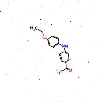 CCOc1ccc(Nc2ccc(C(C)=O)cc2)cc1